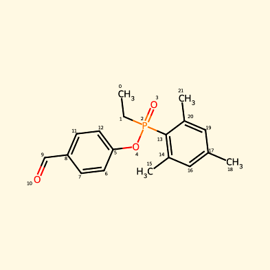 CCP(=O)(Oc1ccc(C=O)cc1)c1c(C)cc(C)cc1C